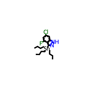 CCC[CH2][Sn]([CH2]CCC)([CH2]CCC)[c]1n[nH]c2cc(Cl)cc(F)c12